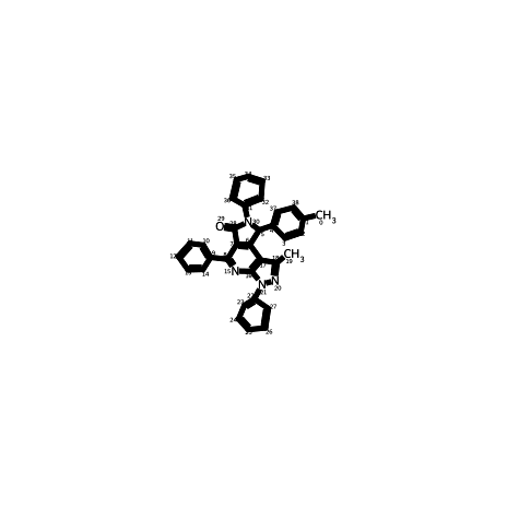 Cc1ccc(C2c3c(c(-c4ccccc4)nc4c3c(C)nn4-c3ccccc3)C(=O)N2c2ccccc2)cc1